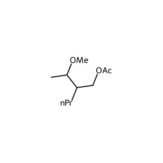 CCCC(COC(C)=O)C(C)OC